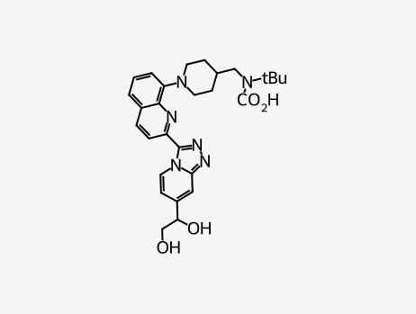 CC(C)(C)N(CC1CCN(c2cccc3ccc(-c4nnc5cc(C(O)CO)ccn45)nc23)CC1)C(=O)O